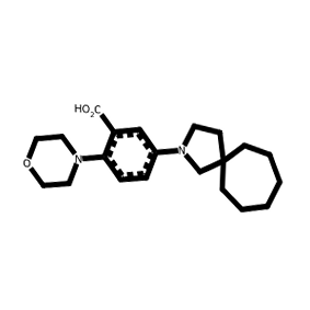 O=C(O)c1cc(N2CCC3(CCCCCC3)C2)ccc1N1CCOCC1